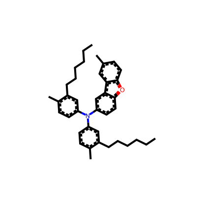 CCCCCCc1cc(N(c2ccc(C)c(CCCCCC)c2)c2ccc3oc4ccc(C)cc4c3c2)ccc1C